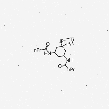 CCCC(=O)NC1CC(NC(=O)CCC)CC(C(C)C)(C(C)C)C1.[CH3][Ti][CH3]